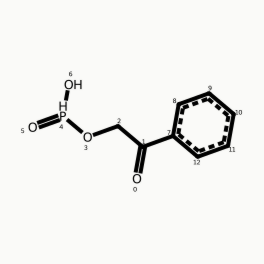 O=C(CO[PH](=O)O)c1ccccc1